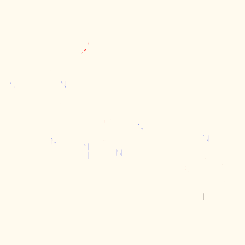 COC1CCN(Cc2cc3c(nc2C=O)N(C(=O)Nc2cc(N4CC[C@@H](OC)C4)c(C#N)cn2)CCC3)C1=O